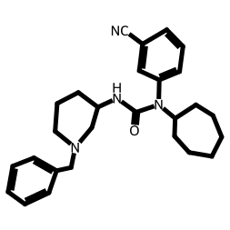 N#Cc1cccc(N(C(=O)NC2CCCN(Cc3ccccc3)C2)C2CCCCCC2)c1